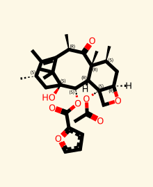 CC(=O)O[C@@]12CO[C@@H]1C[C@H](C)[C@@]1(C)C(=O)[C@H](C)C3=C(C)[C@@H](C)C[C@@](O)([C@@H](OC(=O)c4ccco4)[C@H]21)C3(C)C